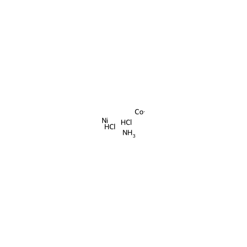 Cl.Cl.N.[Co].[Ni]